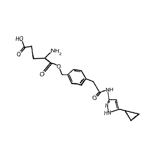 NC(CCC(=O)O)C(=O)OCc1ccc(CC(=O)Nc2cc(C3CC3)[nH]n2)cc1